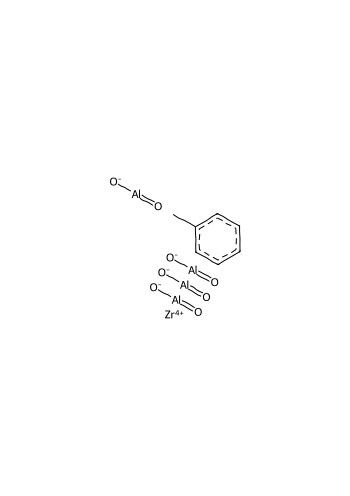 Cc1ccccc1.[O]=[Al][O-].[O]=[Al][O-].[O]=[Al][O-].[O]=[Al][O-].[Zr+4]